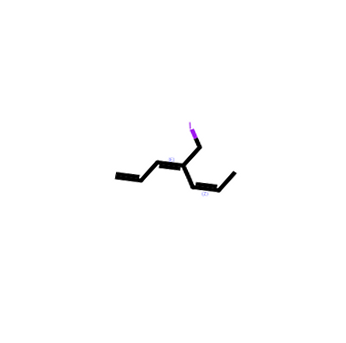 C=C/C=C(\C=C/C)CI